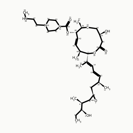 CC[C@H](O)[C@@H](C)[C@H]1O[C@@H]1C[C@H](C)/C=C/C=C(\C)[C@H]1OC(=O)C[C@H](O)CC[C@H](C)[C@@H](OC(=O)N2CCN(CCNC)CC2)/C=C/[C@@H]1C